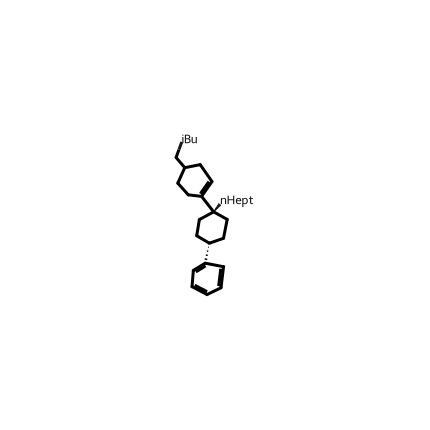 CCCCCCC[C@]1(C2=CCC(CC(C)CC)CC2)CC[C@@H](c2ccccc2)CC1